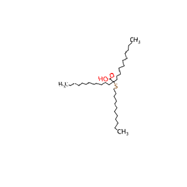 CCCCCCCCCCCCSC(CCCCCCCCCCCC)(CCCCCCCCCCCC)C(=O)O